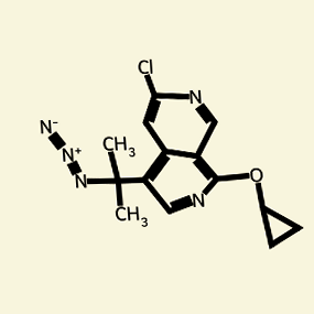 CC(C)(N=[N+]=[N-])c1cnc(OC2CC2)c2cnc(Cl)cc12